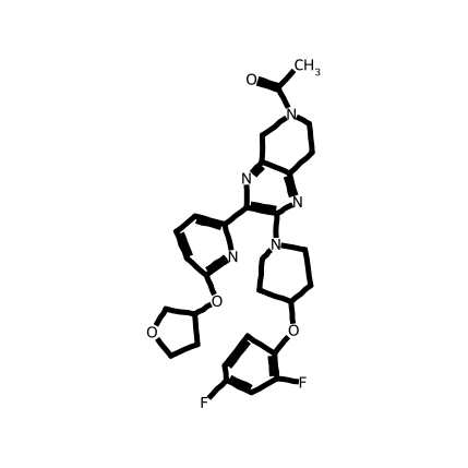 CC(=O)N1CCc2nc(N3CCC(Oc4ccc(F)cc4F)CC3)c(-c3cccc(OC4CCOC4)n3)nc2C1